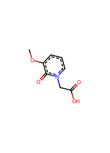 COc1cccn(CC(=O)O)c1=O